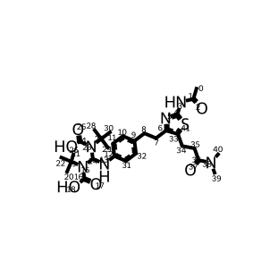 CC(=O)Nc1nc(CCc2ccc(NC(N(C(=O)O)C(C)(C)C)N(C(=O)O)C(C)(C)C)cc2)c(CCC(=O)N(C)C)s1